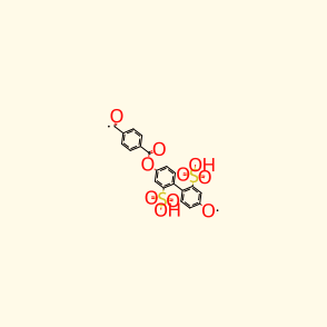 [O]c1ccc(-c2ccc(OC(=O)c3ccc([C]=O)cc3)cc2S(=O)(=O)O)c(S(=O)(=O)O)c1